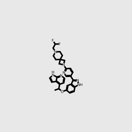 CC(Oc1ccc2[nH]nc(-c3ccc(N4CC5(CCN(CC(F)F)CC5)C4)nc3)c2c1)c1ccnc2[nH]ccc12